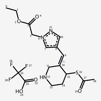 CCOC(=O)Cn1cc(/C=C2\CNCCC2SC(C)=O)cn1.O=C(O)C(F)(F)F